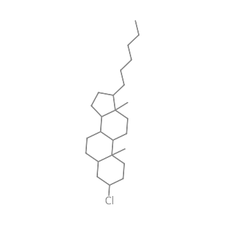 CCCCCCC1CCC2C3CCC4CC(Cl)CCC4(C)C3CCC12C